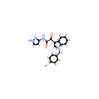 O=C(Nc1cc[nH]n1)C(=O)c1cn(Cc2ccc(F)cc2)c2ccccc12